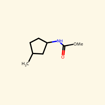 COC(=O)NC1CCC(C)C1